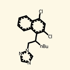 CCCCC(Cn1cncn1)c1c(Cl)cc(Cl)c2ccccc12